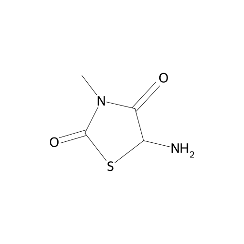 CN1C(=O)SC(N)C1=O